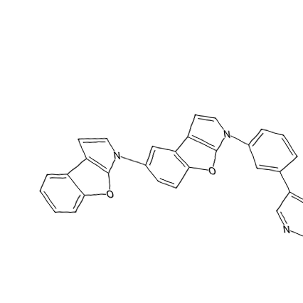 c1cncc(-c2cccc(-n3ccc4c5cc(-n6ccc7c8ccccc8oc76)ccc5oc43)c2)c1